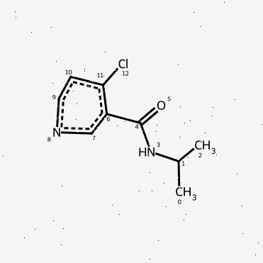 CC(C)NC(=O)c1cnccc1Cl